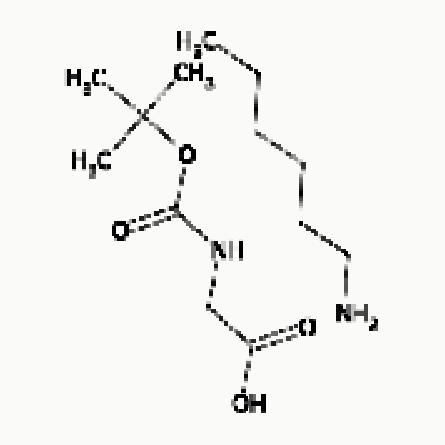 CC(C)(C)OC(=O)NCC(=O)O.CCCCCCN